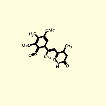 COC1=CC(C(C)=CC2=NNC(=O)CC2C)C(=S=O)C(OC)=C1C